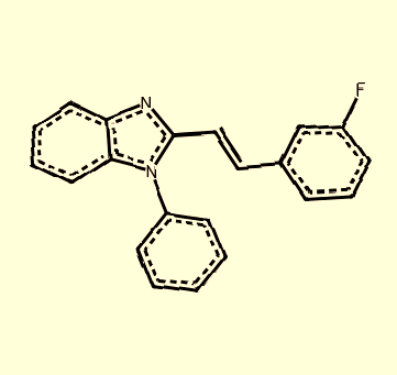 Fc1cccc(/C=C/c2nc3ccccc3n2-c2ccccc2)c1